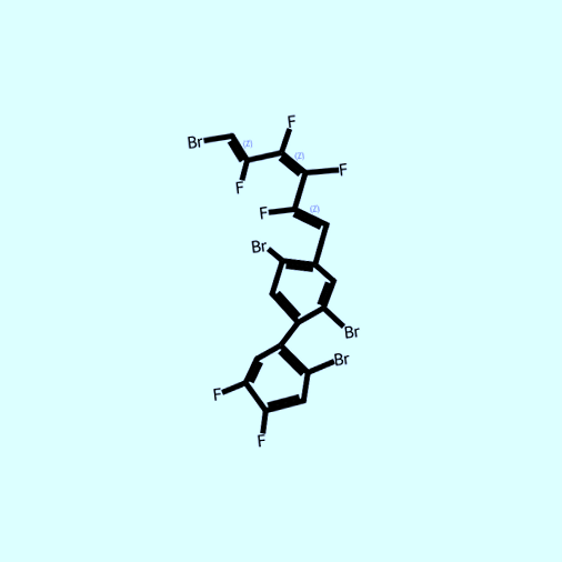 FC(=C\Br)/C(F)=C(F)\C(F)=C\c1cc(Br)c(-c2cc(F)c(F)cc2Br)cc1Br